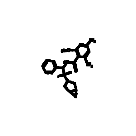 COc1cc(C(F)(F)F)cc(C(F)(F)F)c1C(=O)NC(c1ccccc1)C(C)(C)N1CC2CC2C1